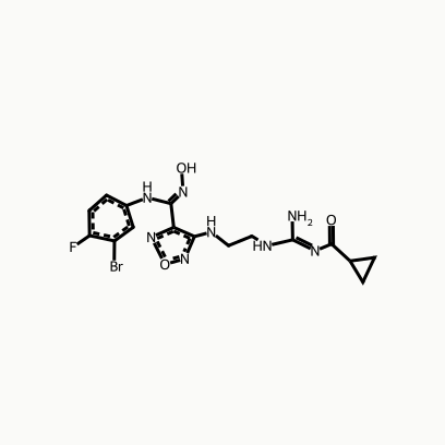 N/C(=N\C(=O)C1CC1)NCCNc1nonc1/C(=N/O)Nc1ccc(F)c(Br)c1